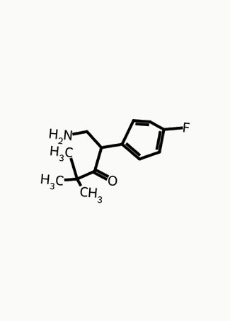 CC(C)(C)C(=O)C(CN)c1ccc(F)cc1